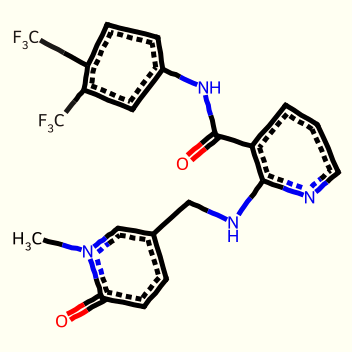 Cn1cc(CNc2ncccc2C(=O)Nc2ccc(C(F)(F)F)c(C(F)(F)F)c2)ccc1=O